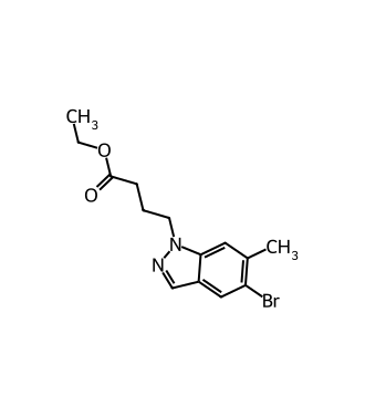 CCOC(=O)CCCn1ncc2cc(Br)c(C)cc21